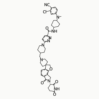 CN(c1ccc(C#N)c(Cl)c1)C1CCC(NC(=O)c2ccc(N3CCC(CN4CCC5(CC4)COc4c5ccc5c4CN([C@H]4CCC(=O)NC4=O)C5=O)CC3)nn2)CC1